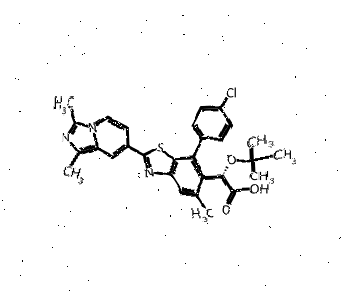 Cc1cc2nc(-c3ccn4c(C)nc(C)c4c3)sc2c(-c2ccc(Cl)cc2)c1[C@H](OC(C)(C)C)C(=O)O